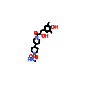 CNS(=O)(=O)N1CCC(C2CCN(C(=O)[C@H](O)Cc3cc(C)c(O)c(C)c3)CC2)CC1